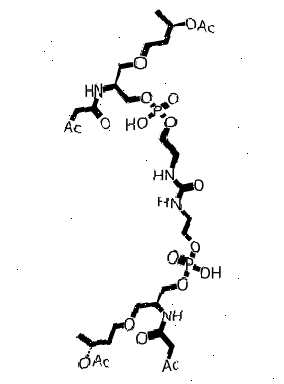 CC(=O)CC(=O)N[C@@H](COCC[C@@H](C)OC(C)=O)COP(=O)(O)OCCNC(=O)NCCOP(=O)(O)OC[C@H](COCC[C@@H](C)OC(C)=O)NC(=O)CC(C)=O